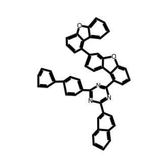 c1ccc(-c2ccc(-c3nc(-c4ccc5ccccc5c4)nc(-c4cccc5oc6cc(-c7cccc8oc9ccccc9c78)ccc6c45)n3)cc2)cc1